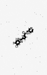 O=C(NCc1cccnc1)c1ccc(-c2nc3cc(Cl)c(F)cc3[nH]2)s1